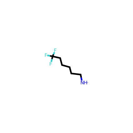 [NH]CCCCCC(F)(F)F